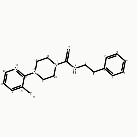 O=C(NCCc1ccccc1)N1CCN(c2ncccc2F)CC1